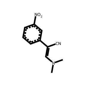 CN(C)/C=C(\C#N)c1cccc([N+](=O)[O-])c1